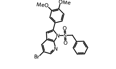 COc1ccc(-c2cc3cc(Br)cnc3n2S(=O)(=O)Cc2ccccc2)cc1OC